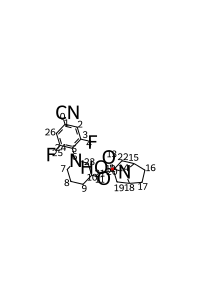 N#Cc1cc(F)c(N2CCCC(OC(=O)N3C4CCC3CC(O)C4)C2)c(F)c1